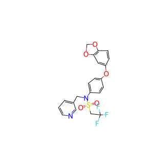 O=S(=O)(CC(F)(F)F)N(Cc1cccnc1)c1ccc(Oc2ccc3c(c2)OCO3)cc1